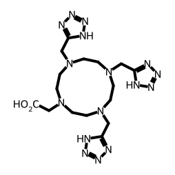 O=C(O)CN1CCN(Cc2nnn[nH]2)CCN(Cc2nnn[nH]2)CCN(Cc2nnn[nH]2)CC1